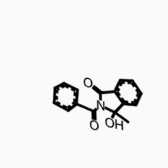 CC1(O)c2ccccc2C(=O)N1C(=O)c1ccccc1